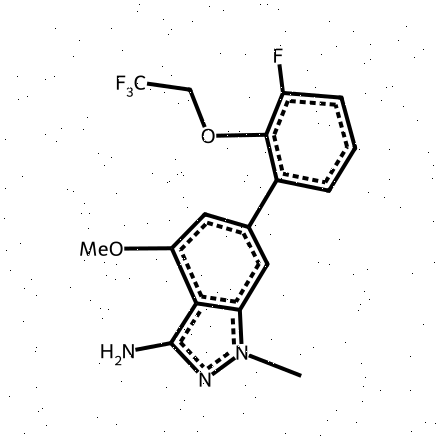 COc1cc(-c2cccc(F)c2OCC(F)(F)F)cc2c1c(N)nn2C